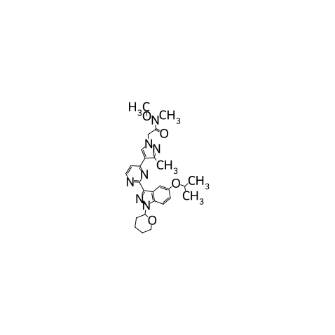 CON(C)C(=O)Cn1cc(-c2ccnc(-c3nn(C4CCCCO4)c4ccc(OC(C)C)cc34)n2)c(C)n1